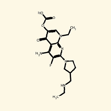 CCNCC1CCN(c2nc3c(c(N)c2F)c(=O)c(OC(=O)O)cn3CC)C1